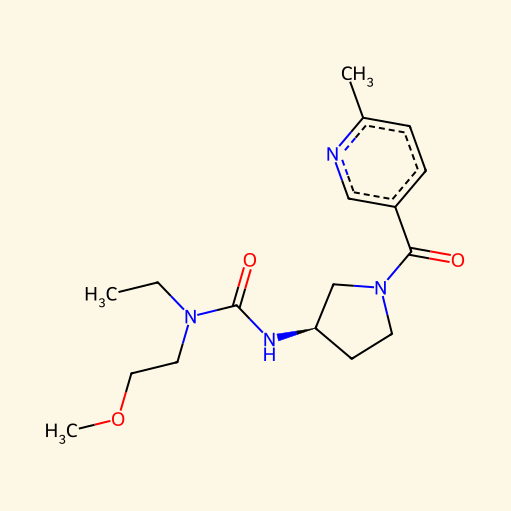 CCN(CCOC)C(=O)N[C@@H]1CCN(C(=O)c2ccc(C)nc2)C1